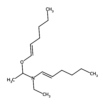 CCCCC=COC(C)N(C=CCCCC)CC